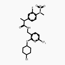 CCC1CCC(Oc2nc(C(F)(F)F)ccc2CNC(=O)C(C)c2ccc(N(C)[SH](=O)=O)c(F)c2)CC1